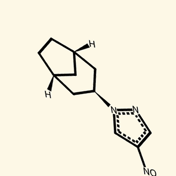 O=[N+]([O-])c1cnn([C@H]2C[C@@H]3CC[C@@H](C3)C2)c1